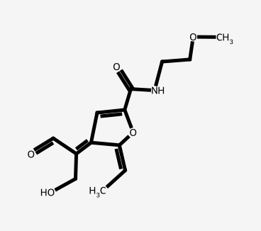 C/C=c1/oc(C(=O)NCCOC)c/c1=C(\C=O)CO